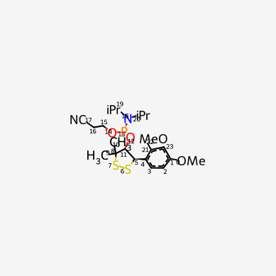 COc1ccc([C@H]2SSC(C)(C)[C@H]2OP(OCCC#N)N(C(C)C)C(C)C)c(OC)c1